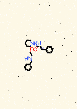 O=C(/C=C/c1ccccc1)NN1CCCCC1OCCNCc1ccccc1